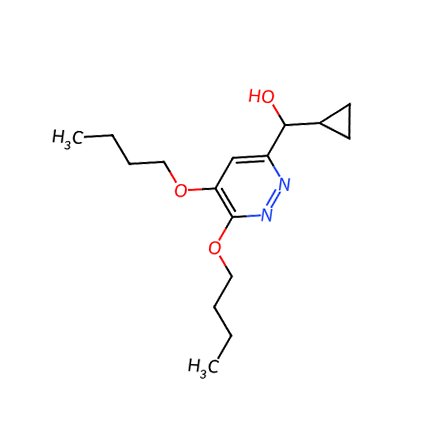 CCCCOc1cc(C(O)C2CC2)nnc1OCCCC